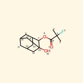 CC(C)(F)C(=O)OC1C2CC3CC(C2)CC1(O)C3